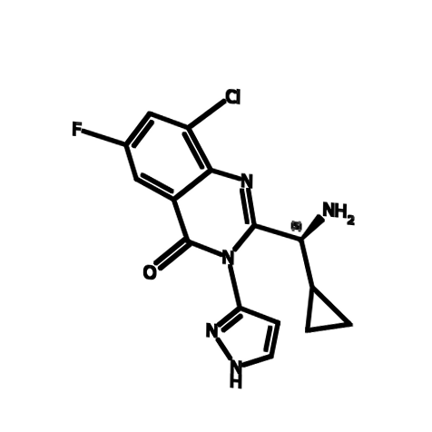 N[C@H](c1nc2c(Cl)cc(F)cc2c(=O)n1-c1cc[nH]n1)C1CC1